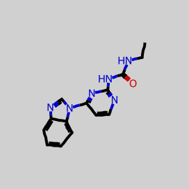 CCNC(=O)Nc1nccc(-n2cnc3ccccc32)n1